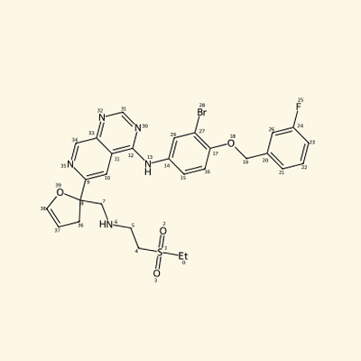 CCS(=O)(=O)CCNCC1(c2cc3c(Nc4ccc(OCc5cccc(F)c5)c(Br)c4)ncnc3cn2)CC=CO1